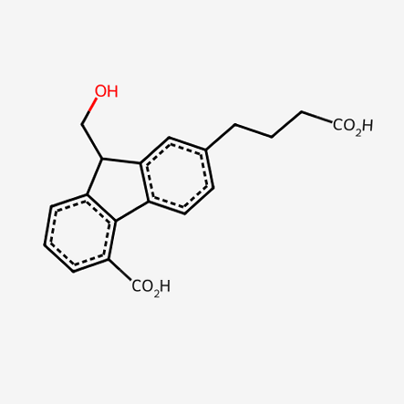 O=C(O)CCCc1ccc2c(c1)C(CO)c1cccc(C(=O)O)c1-2